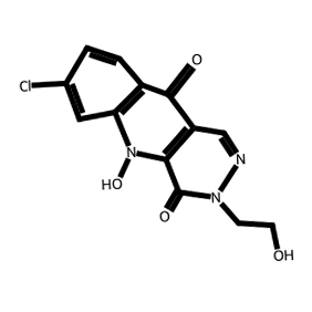 O=c1c2ccc(Cl)cc2n(O)c2c(=O)n(CCO)ncc12